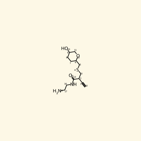 C#CC(CSCC1CCC(O)CO1)C(=O)NCCN